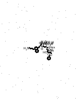 CC(=O)O.CC(=O)O.CC(=O)O.CCCCCCN(CCCN[C@@H](CCc1ccc(CCCCN)c2ccccc12)C(N)=O)C[C@H](O)[C@@H](O)[C@@H]1OC(c2ccccc2)OC[C@H]1O